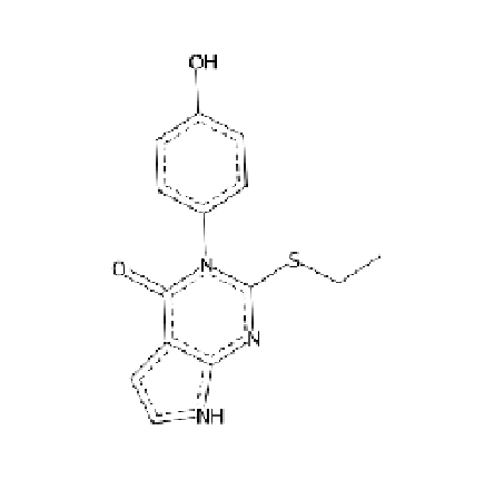 CCSc1nc2[nH]ccc2c(=O)n1-c1ccc(O)cc1